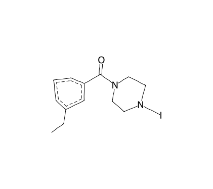 CCc1cccc(C(=O)N2CCN(I)CC2)c1